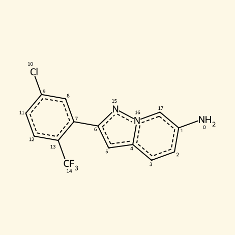 Nc1ccc2cc(-c3cc(Cl)ccc3C(F)(F)F)nn2c1